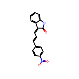 O=C1Nc2ccccc2C1=CC=Cc1ccc([N+](=O)[O-])cc1